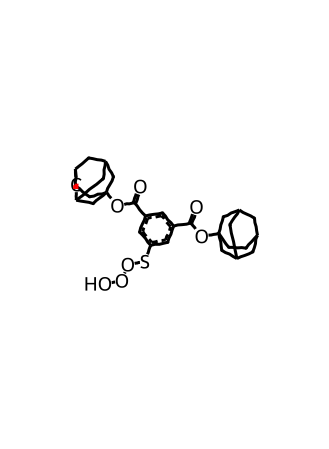 O=C(OC12CCC3CC(CC(C3)C1)C2)c1cc(SOOO)cc(C(=O)OC23CCC4CC(CC(C4)C2)C3)c1